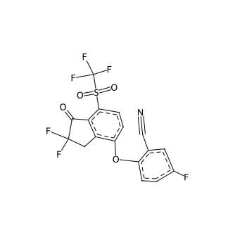 N#Cc1cc(F)ccc1Oc1ccc(S(=O)(=O)C(F)(F)F)c2c1CC(F)(F)C2=O